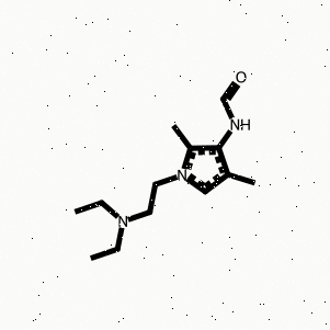 CCN(CC)CCn1cc(C)c(NC=O)c1C